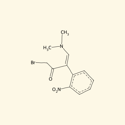 CN(C)/C=C(\C(=O)CBr)c1ccccc1[N+](=O)[O-]